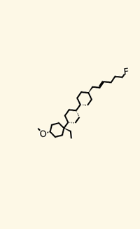 CC[C@]1([C@H]2CC[C@@H]([C@H]3CC[C@H](C/C=C/CCCF)CC3)CC2)CC[C@@H](OC)CC1